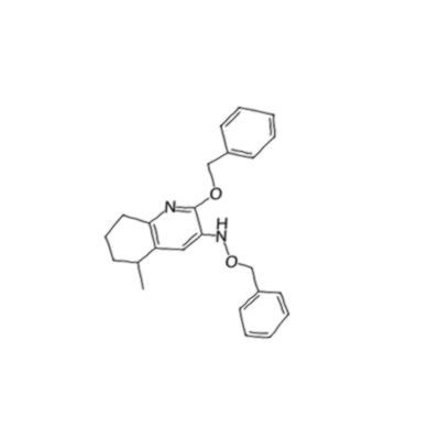 CC1CCCc2nc(OCc3ccccc3)c(NOCc3ccccc3)cc21